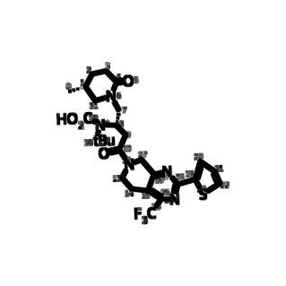 C[C@@H]1CCC(=O)N(C[C@H](CC(=O)N2CCc3c(nc(-c4cccs4)nc3C(F)(F)F)C2)N(C(=O)O)C(C)(C)C)C1